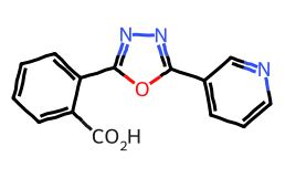 O=C(O)c1ccccc1-c1nnc(-c2cccnc2)o1